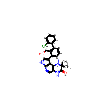 CC1(C)Nc2c(cnc3[nH]cc(-c4cccc(-c5ccccc5Cl)c4CO)c23)NC1=O